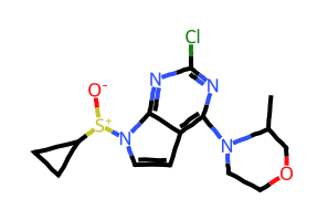 CC1COCCN1c1nc(Cl)nc2c1ccn2[S+]([O-])C1CC1